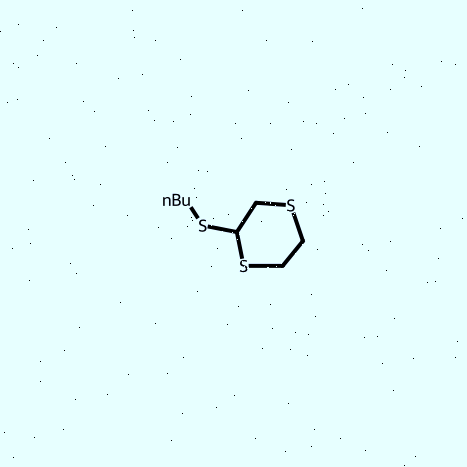 [CH2]CCCSC1CSCCS1